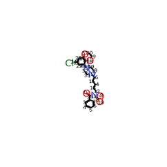 O=C1c2ccccc2S(=O)(=O)N1CCCCCN1CCN(c2cc(Cl)cc3c2OCCO3)CC1